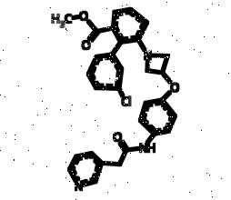 COC(=O)c1cccc(N2CC(Oc3ccc(NC(=O)Cc4cccnc4)cc3)C2)c1-c1cccc(Cl)c1